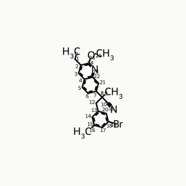 CCc1cc2ccc(C(C)(C#N)Cc3cc(C)cc(Br)c3)cc2nc1OC